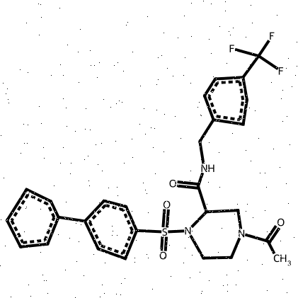 CC(=O)N1CCN(S(=O)(=O)c2ccc(-c3ccccc3)cc2)C(C(=O)NCc2ccc(C(F)(F)F)cc2)C1